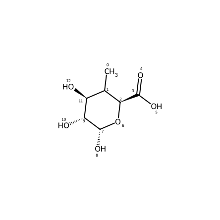 CC1[C@@H](C(=O)O)O[C@H](O)[C@H](O)[C@H]1O